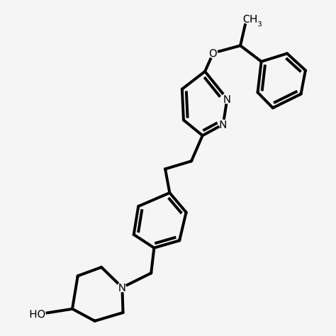 CC(Oc1ccc(CCc2ccc(CN3CCC(O)CC3)cc2)nn1)c1ccccc1